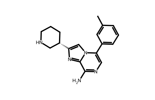 Cc1cccc(-c2cnc(N)c3nc([C@H]4CCCNC4)cn23)c1